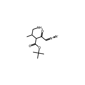 CC(CN)C(C(=O)C=[N+]=[N-])C(=O)OC(C)(C)C